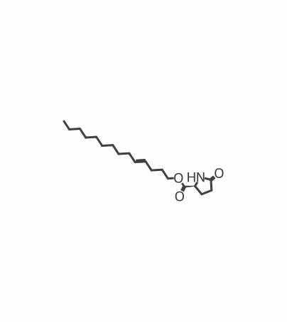 CCCCCCCCCC=CCCCOC(=O)[C@@H]1CCC(=O)N1